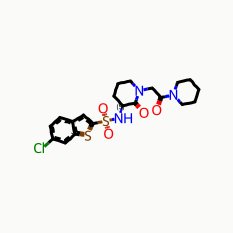 O=C(CN1CCC[C@H](NS(=O)(=O)c2cc3ccc(Cl)cc3s2)C1=O)N1CCCCC1